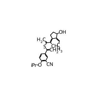 C=C(SC(=C)c1ccc(OC(C)C)c(C#N)c1)/C(C)=C1\CCC(O)\C1=C\C